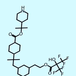 CC(C)(CC1CCCC(CCOC(=O)C(O)(C(F)(F)F)C(F)(F)F)C1)C1CCC(C(=O)OC(C)(C)C2CCNCC2)CC1